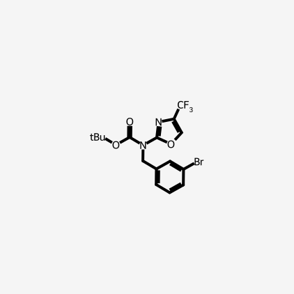 CC(C)(C)OC(=O)N(Cc1cccc(Br)c1)c1nc(C(F)(F)F)co1